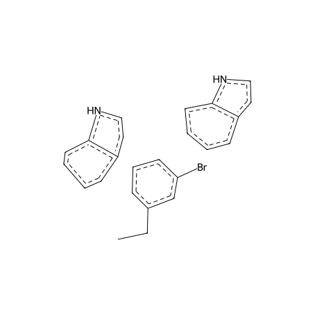 CCc1cccc(Br)c1.c1ccc2[nH]ccc2c1.c1ccc2[nH]ccc2c1